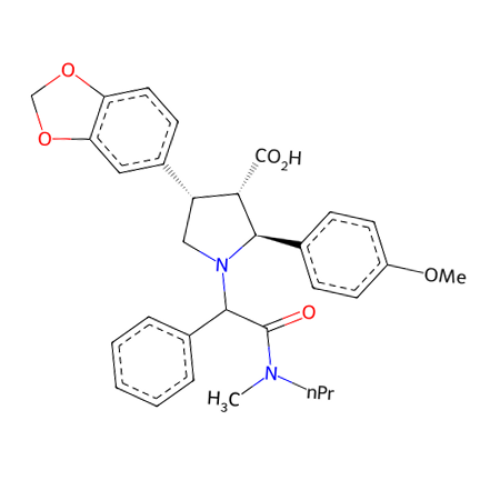 CCCN(C)C(=O)C(c1ccccc1)N1C[C@H](c2ccc3c(c2)OCO3)[C@H](C(=O)O)[C@H]1c1ccc(OC)cc1